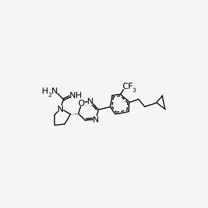 N=C(N)N1CCC[C@H]1C1C=NC(c2ccc(CCC3CC3)c(C(F)(F)F)c2)=NO1